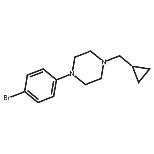 Brc1ccc(N2CCN(CC3CC3)CC2)cc1